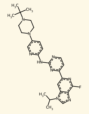 CC(C)n1cnc2c(F)nc(-c3ccnc(Nc4ccc(N5CCN(C(C)(C)C)CC5)cn4)n3)cc21